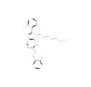 NCCCCCCn1c(-c2c(F)cccc2F)nc2cnc(CNc3ccccc3F)nc21